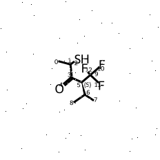 CC(S)C(=O)[C@H](C(C)C)C(F)(F)F